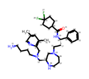 Cc1cnc(CN(CCCCN)C[C@H]2CN(CC[C@H](NC(=O)C3CCC(F)(F)CC3)c3ccccc3)CCCN2)c(C)c1